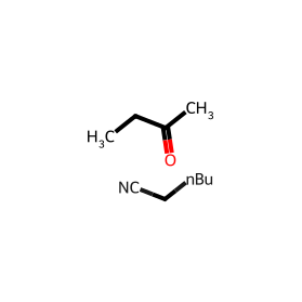 CCC(C)=O.CCCCCC#N